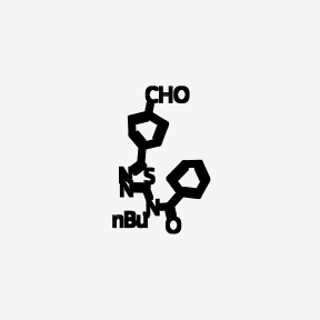 CCCCN(C(=O)c1ccccc1)c1nnc(-c2ccc(C=O)cc2)s1